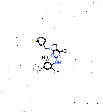 Cc1cc(C)c(Nc2nc(C)c3c(n2)N(Cc2cccc(F)c2)CC3)c(C)c1